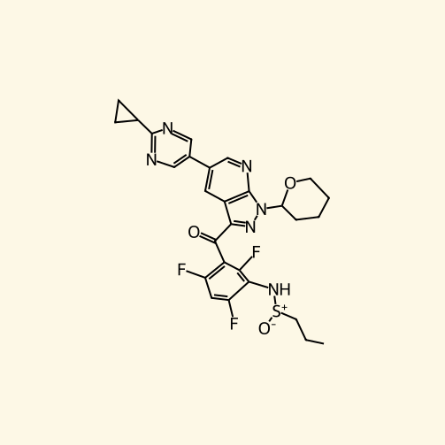 CCC[S+]([O-])Nc1c(F)cc(F)c(C(=O)c2nn(C3CCCCO3)c3ncc(-c4cnc(C5CC5)nc4)cc23)c1F